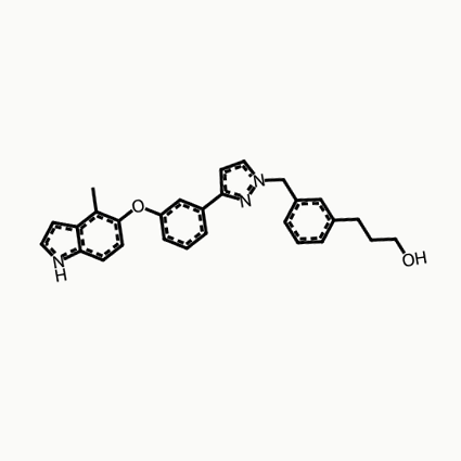 Cc1c(Oc2cccc(-c3ccn(Cc4cccc(CCCO)c4)n3)c2)ccc2[nH]ccc12